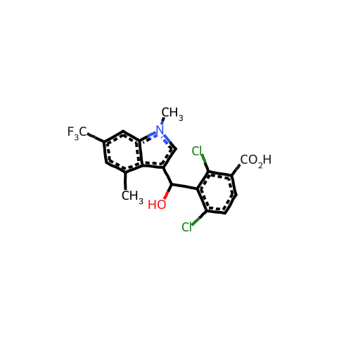 Cc1cc(C(F)(F)F)cc2c1c(C(O)c1c(Cl)ccc(C(=O)O)c1Cl)cn2C